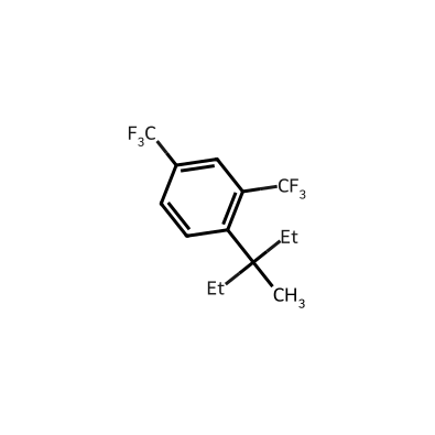 CCC(C)(CC)c1ccc(C(F)(F)F)cc1C(F)(F)F